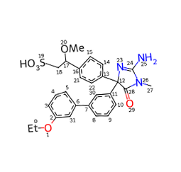 CCOc1cccc(-c2cccc(C3(c4ccc(C(CS(=O)(=O)O)OC)cc4)N=C(N)N(C)C3=O)c2)c1